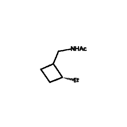 CC[C@@H]1CCC1CNC(C)=O